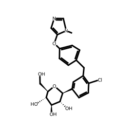 Cn1cncc1Oc1ccc(Cc2cc([C@@H]3O[C@H](CO)[C@@H](O)[C@H](O)[C@H]3O)ccc2Cl)cc1